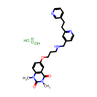 Cl.Cl.Cl.Cn1c(=O)c2cc(OCCCNCc3ccnc(CCc4cccnc4)c3)ccc2n(C)c1=O